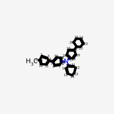 Cc1ccc(-c2ccc(N(C3=CCCCC=C3)c3ccc(C4CC=CCC4)cc3)cc2)cc1